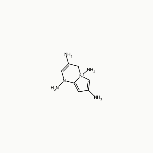 NC1=C[N+]2(N)CC(N)=CN(N)C2=C1